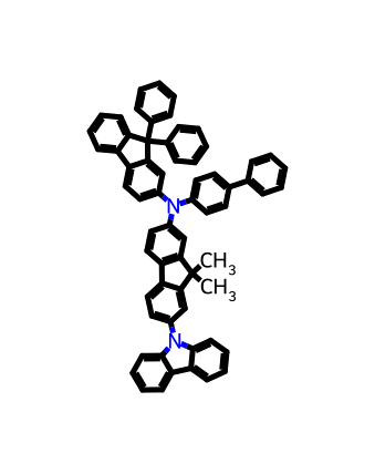 CC1(C)c2cc(N(c3ccc(-c4ccccc4)cc3)c3ccc4c(c3)C(c3ccccc3)(c3ccccc3)c3ccccc3-4)ccc2-c2ccc(-n3c4ccccc4c4ccccc43)cc21